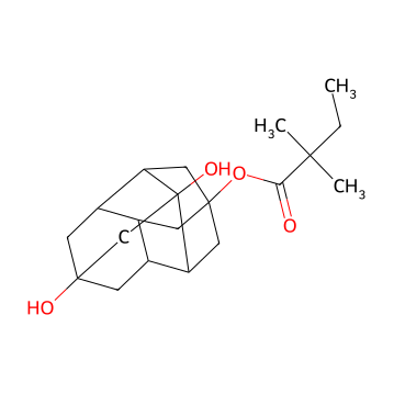 CCC(C)(C)C(=O)OC12CC3C4CC5(O)CC3C(C1)C(O)(C5)C4C2